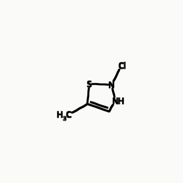 CC1=CNN(Cl)S1